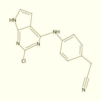 N#CCc1ccc(Nc2nc(Cl)nc3[nH]ccc23)cc1